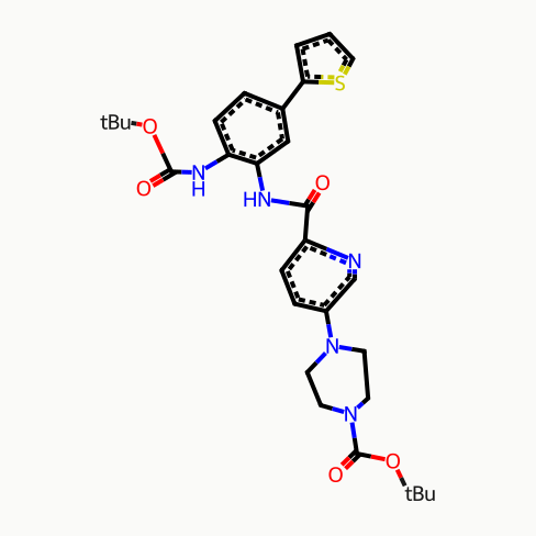 CC(C)(C)OC(=O)Nc1ccc(-c2cccs2)cc1NC(=O)c1ccc(N2CCN(C(=O)OC(C)(C)C)CC2)cn1